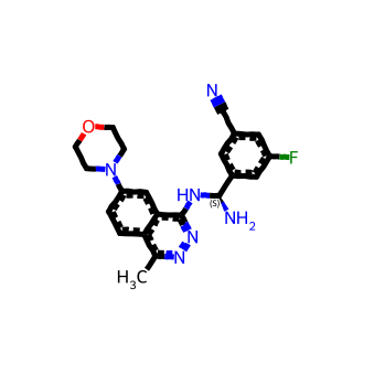 Cc1nnc(N[C@H](N)c2cc(F)cc(C#N)c2)c2cc(N3CCOCC3)ccc12